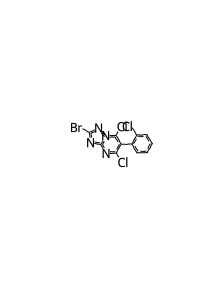 Clc1ccccc1-c1c(Cl)nc2nc(Br)nn2c1Cl